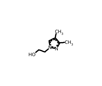 Cc1cn(CCO)nc1C